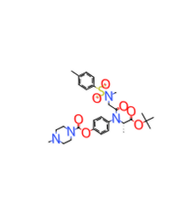 Cc1ccc(S(=O)(=O)N(C)CC(=O)N(c2ccc(OC(=O)N3CCN(C)CC3)cc2)[C@@H](C)C(=O)OC(C)(C)C)cc1